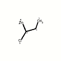 CC[CH](Cl)[Zn]